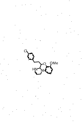 COc1ccccc1OC(CCc1ccc(Cl)cc1)C1NC=CCN1